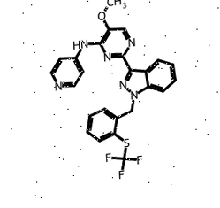 COc1cnc(-c2nn(Cc3ccccc3SC(F)(F)F)c3ccccc23)nc1Nc1ccncc1